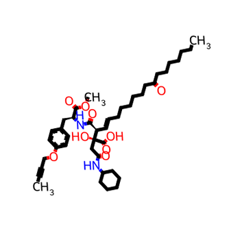 CC#CCOc1ccc(C[C@H](NC(=O)[C@@H](/C=C/CCCCCCC(=O)CCCCCCC)[C@@](O)(CC(=O)NC2CCCCC2)C(=O)O)C(=O)OC)cc1